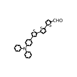 O=Cc1ccc(-c2ccc(-c3cc(-c4ccc(N(c5ccccc5)c5ccccc5)cc4)cs3)s2)s1